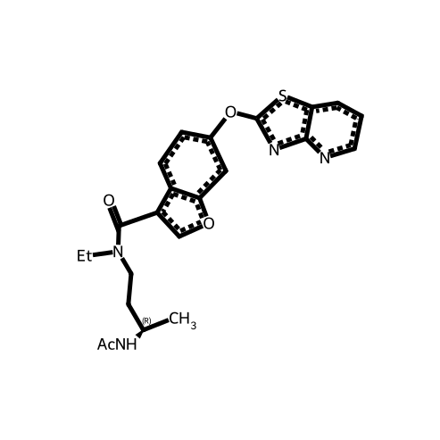 CCN(CC[C@@H](C)NC(C)=O)C(=O)c1coc2cc(Oc3nc4ncccc4s3)ccc12